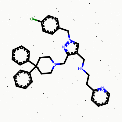 Clc1ccc(Cn2cc(CNCCc3ccccn3)c(CN3CCC(c4ccccc4)(c4ccccc4)CC3)n2)cc1